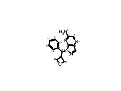 Nc1cnc2cnn(C(c3ccccc3)C3COC3)c2n1